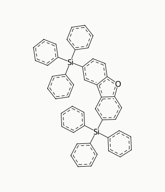 c1ccc([Si](c2ccccc2)(c2ccccc2)c2ccc3oc4ccc([Si](c5ccccc5)(c5ccccc5)c5ccccc5)cc4c3c2)cc1